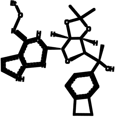 CCON=c1[nH]c([C@H]2O[C@H]([C@](C)(O)c3ccc4c(c3)CC4)[C@@H]3OC(C)(C)O[C@@H]32)nc2[nH]ccc12